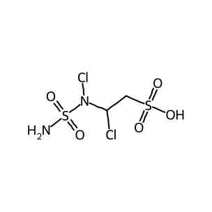 NS(=O)(=O)N(Cl)C(Cl)CS(=O)(=O)O